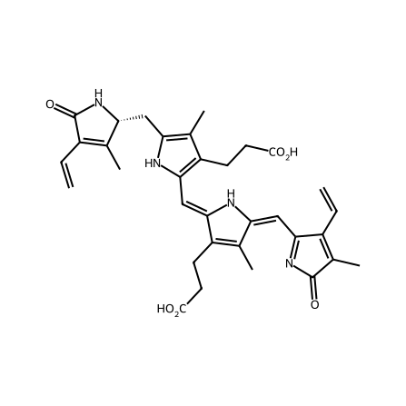 C=CC1=C(C)C(=O)N=C1C=c1[nH]c(=Cc2[nH]c(C[C@H]3NC(=O)C(C=C)=C3C)c(C)c2CCC(=O)O)c(CCC(=O)O)c1C